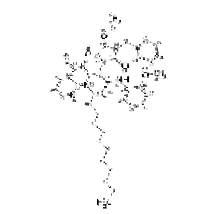 CCCCCCCCCCCCn1c(C(C(=O)Nc2ccccc2OC)N2C(=O)C(OCC)N(Cc3ccccc3)C2=O)nc(=O)c2cccnc21